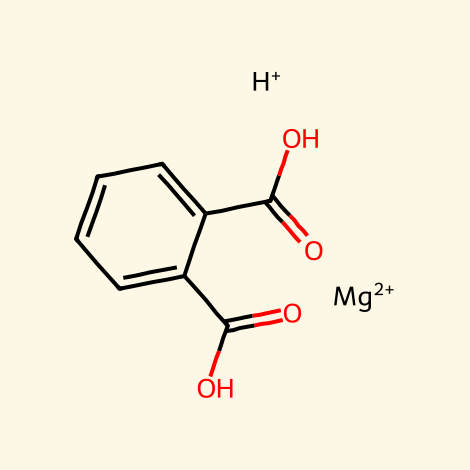 O=C(O)c1ccccc1C(=O)O.[H+].[Mg+2]